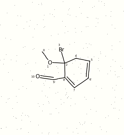 COC1(Br)CC=CC=C1C=O